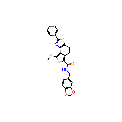 CSc1sc(C(=O)NCc2ccc3c(c2)OCO3)c2c1-c1nc(-c3ccccc3)sc1CC2